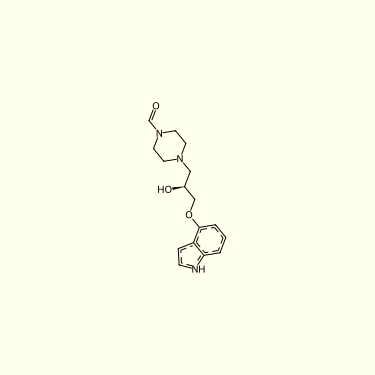 O=CN1CCN(C[C@H](O)COc2cccc3[nH]ccc23)CC1